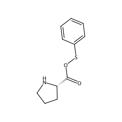 O=C(OSc1ccccc1)[C@@H]1CCCN1